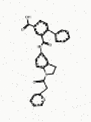 O=C(O)c1ccc(-c2ccccc2)c(C(=O)Nc2ccc3c(c2)CCN3C(=O)Cc2ccccn2)c1